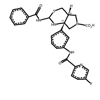 O=C(NC1N[C@@]2(c3cccc(NC(=O)c4ccc(F)cn4)c3)CN(C(=O)O)C[C@H]2CS1)c1ccccc1